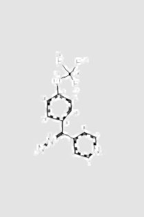 [N-]=[N+]=C(c1ccncc1)c1ccc(OC(F)(F)F)cc1